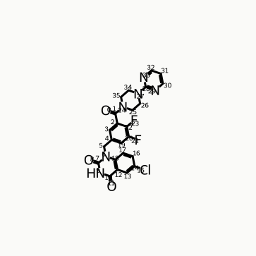 O=C(c1cc(Cn2c(=O)[nH]c(=O)c3cc(Cl)ccc32)cc(F)c1F)N1CCN(c2ncccn2)CC1